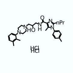 CCCc1nc(C(=O)NCC(O)CN2CCN(c3cccc(C)c3C)CC2)c(C)n1-c1ccc(C)cc1.Cl.Cl